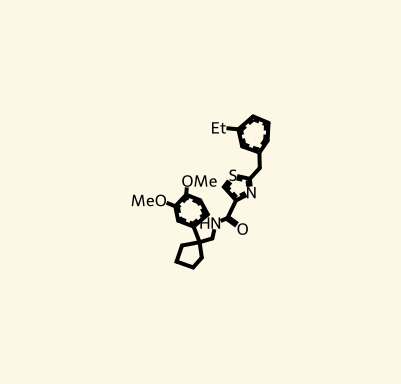 CCc1cccc(Cc2nc(C(=O)NCC3(c4ccc(OC)c(OC)c4)CCCC3)cs2)c1